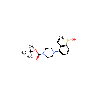 C=Cc1c(SO)cccc1N1CCN(C(=O)OC(C)(C)C)CC1